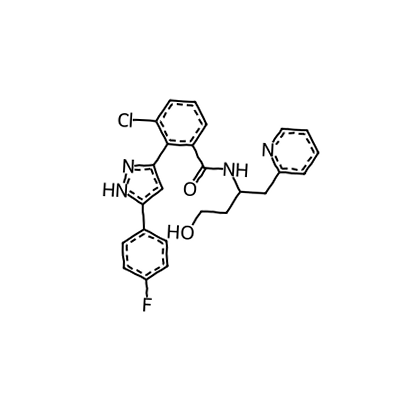 O=C(NC(CCO)Cc1ccccn1)c1cccc(Cl)c1-c1cc(-c2ccc(F)cc2)[nH]n1